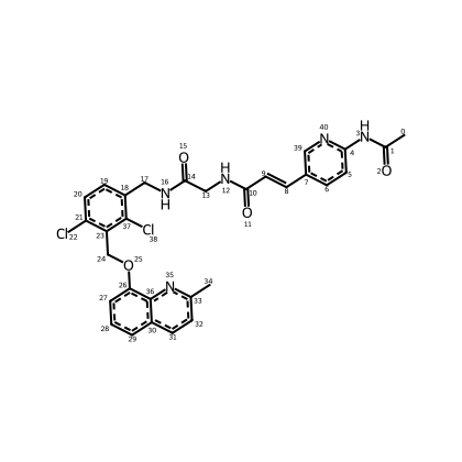 CC(=O)Nc1ccc(C=CC(=O)NCC(=O)NCc2ccc(Cl)c(COc3cccc4ccc(C)nc34)c2Cl)cn1